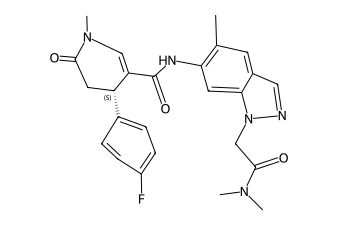 Cc1cc2cnn(CC(=O)N(C)C)c2cc1NC(=O)C1=CN(C)C(=O)C[C@H]1c1ccc(F)cc1